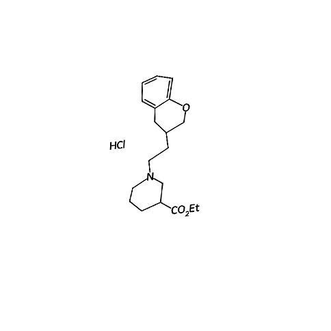 CCOC(=O)C1CCCN(CCC2COc3ccccc3C2)C1.Cl